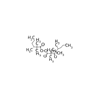 CCCC(C)C(C)(C)C(=O)OOC(=O)C(C)(C)C(=O)C(C)(C)C(C)CCC